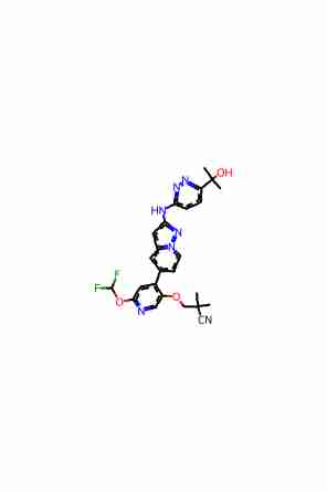 CC(C)(C#N)COc1cnc(OC(F)F)cc1-c1ccn2nc(Nc3ccc(C(C)(C)O)nn3)cc2c1